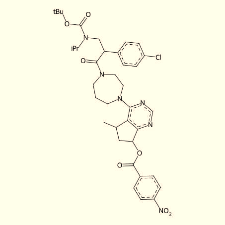 CC1CC(OC(=O)c2ccc([N+](=O)[O-])cc2)c2ncnc(N3CCCN(C(=O)C(CN(C(=O)OC(C)(C)C)C(C)C)c4ccc(Cl)cc4)CC3)c21